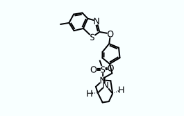 Cc1ccc2nc(Oc3ccc(CCN4[C@@H]5CC[C@H]4CN(S(C)(=O)=O)C5)cc3)sc2c1